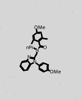 CCCN(Cc1nc2ccccc2n1-c1ccc(OC)cc1)C(=O)c1c(C)cc(OC)cc1C